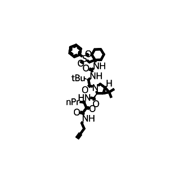 C#CCCNC(=O)C(=O)C(CCC)NC(=O)[C@@H]1C2[C@H](CN1C(=O)[C@@H](NC(=O)NC1(CS(=O)(=O)c3ccccc3)CCCCC1)C(C)(C)C)C2(C)C